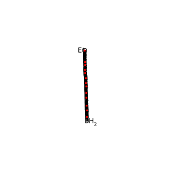 BB=BB=BB=BB=BB=BB=BB=BB=BB=BB=BB=BB=BB=BB=BB=BB=BB=BB=BB=BB=BB=BOCC